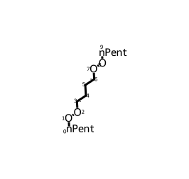 CCCCCOO[CH]CC[CH]OOCCCCC